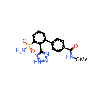 CONC(=O)c1ccc(-c2cccc(S(N)(=O)=O)c2-c2nn[nH]n2)cc1